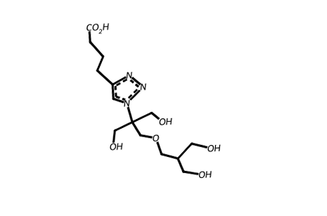 O=C(O)CCCc1cn(C(CO)(CO)COCC(CO)CO)nn1